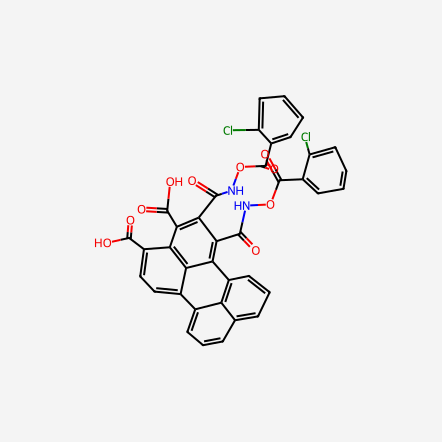 O=C(ONC(=O)c1c(C(=O)O)c2c(C(=O)O)ccc3c4cccc5cccc(c(c1C(=O)NOC(=O)c1ccccc1Cl)c23)c54)c1ccccc1Cl